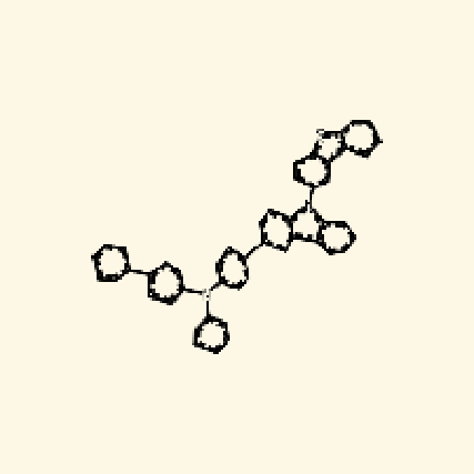 c1ccc(-c2ccc(N(c3ccccc3)c3ccc(-c4ccc5c(c4)c4ccccc4n5-c4ccc5sc6ccccc6c5c4)cc3)cc2)cc1